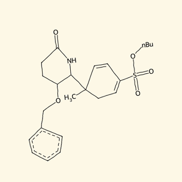 CCCCOS(=O)(=O)C1=CCC(C)(C2NC(=O)CCC2OCc2ccccc2)C=C1